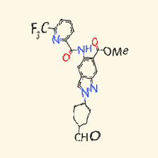 COC(=O)c1cc2nn(C3CCC(C=O)CC3)cc2cc1NC(=O)c1cccc(C(F)(F)F)n1